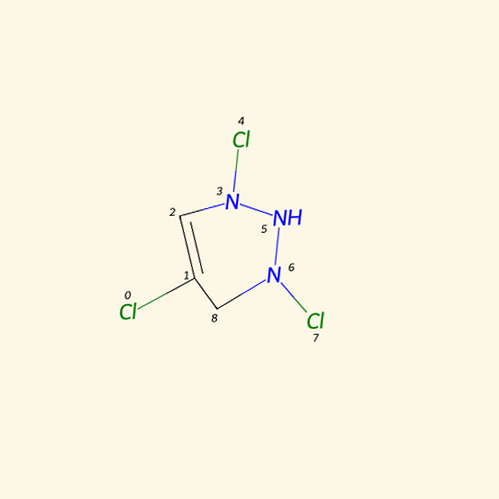 ClC1=CN(Cl)NN(Cl)C1